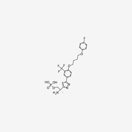 C[C@](N)(COP(=O)(O)O)c1nnc(-c2ccc(OCCCCOc3ccc(F)cc3)c(C(F)(F)F)c2)s1